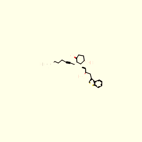 O=C(O)CCCC#CC[C@H]1C(=O)CC[C@@H](O)[C@@H]1/C=C/C(O)Cc1csc2ccccc12